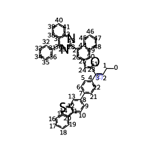 CC/C=C(/c1ccc(-c2ccc3c(c2)sc2ccccc23)cc1)c1cc2cc(-c3nc(-c4ccccc4)c4ccccc4n3)c3ccccc3c2o1